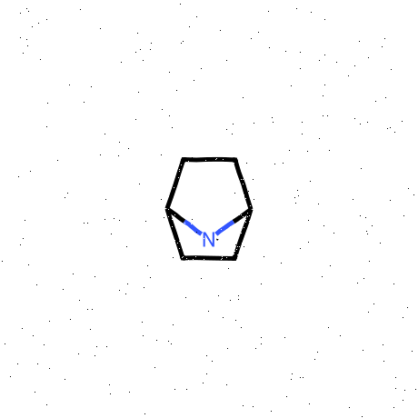 C1CC2CCC1[N]2